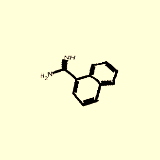 N=C(N)c1cc[c]c2ccccc12